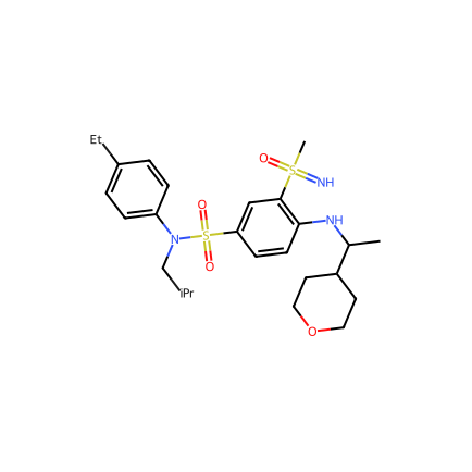 CCc1ccc(N(CC(C)C)S(=O)(=O)c2ccc(NC(C)C3CCOCC3)c(S(C)(=N)=O)c2)cc1